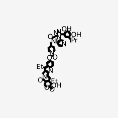 CCc1c2c(nc3ccc(OC(=O)N4CCC(CNC(=O)c5nnc(-c6cc(C(C)C)c(O)cc6O)n5-c5cccnc5)CC4)cc13)-c1cc3c(c(=O)n1C2)COC(=O)C3(O)CC